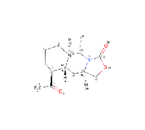 C[C@H]1[C@@H]2CCC[C@H](C(=O)C(F)(F)F)[C@H]2C[C@@H]2COC(=O)N21